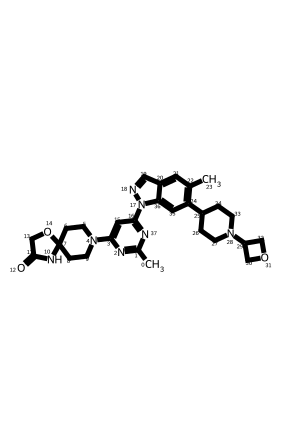 Cc1nc(N2CCC3(CC2)NC(=O)CO3)cc(-n2ncc3cc(C)c(C4CCN(C5COC5)CC4)cc32)n1